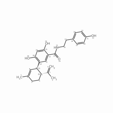 C=C(C)[C@@H]1CCC(C)=C[C@H]1c1cc(C(=O)NCCc2ccc(O)cc2)c(O)cc1O